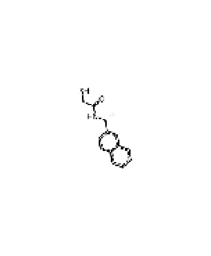 C[C@@H](NC(=O)CS)c1ccc2ccccc2c1